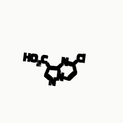 O=C(O)c1cnn2ccc(Cl)nc12